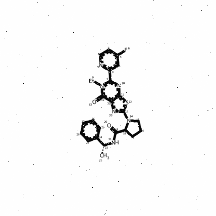 CCn1c(-c2cc(F)ccn2)nc2sc(N3CCCC3C(=O)N[C@H](C)c3ccccc3)nc2c1=O